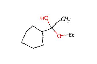 [CH2]C(O)(OCC)C1CCCCC1